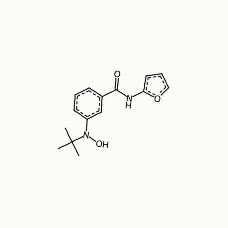 CC(C)(C)N(O)c1cccc(C(=O)Nc2ccco2)c1